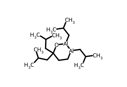 CC(C)[CH2][Al]1[CH2]CC(CC(C)C)(CC(C)C)[O][Al]1[CH2]C(C)C